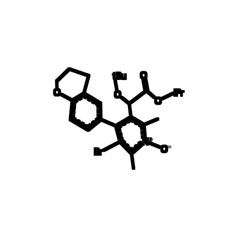 Cc1c(Br)c(-c2ccc3c(c2)CCCO3)c(C(OC(C)(C)C)C(=O)OC(C)C)c(C)[n+]1[O-]